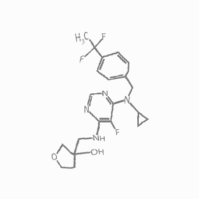 CC(F)(F)c1ccc(CN(c2ncnc(NCC3(O)CCOC3)c2F)C2CC2)cc1